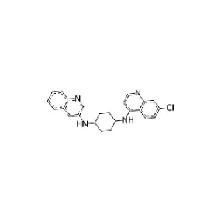 Clc1ccc2c(NC3CCC(Nc4cnc5ccccc5c4)CC3)ccnc2c1